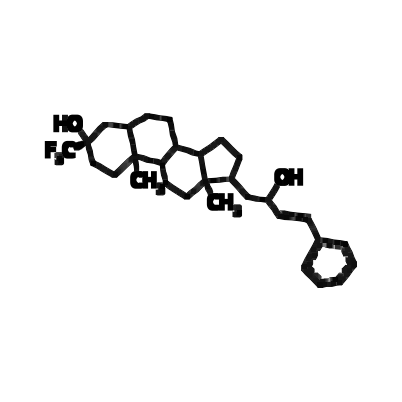 CC12CCC3C(CCC4C[C@](O)(C(F)(F)F)CCC43C)C1CCC2CC(O)/C=C/c1ccccc1